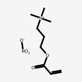 C=CC(=O)OCCC[N+](C)(C)C.O=[N+]([O-])[O-]